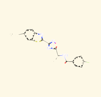 COc1ccc2nc(-c3noc([C@H](C)NC(=O)c4ccc(F)cc4)n3)sc2c1